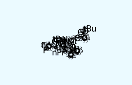 CCCSc1nc(N(C(=O)OC(C)(C)C)[C@@H]2C[C@H]2c2ccc(F)c(F)c2)c2nnn([C@@H]3C[C@H](COCc4ccccc4C(=O)OC(C)(C)C)O[C@H]3CO[Si](c3ccccc3)(c3ccccc3)C(C)(C)C)c2n1